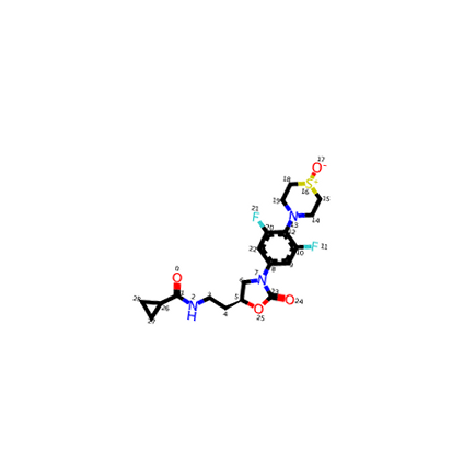 O=C(NCC[C@H]1CN(c2cc(F)c(N3CC[S+]([O-])CC3)c(F)c2)C(=O)O1)C1CC1